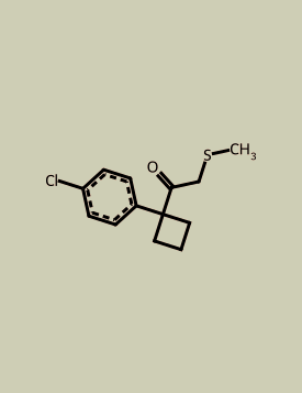 CSCC(=O)C1(c2ccc(Cl)cc2)CCC1